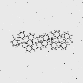 Cc1ccc(C)c(N(c2cccc(-c3cccc(-c4c(C)cccc4C)c3)c2O)c2ccc3ccc4c(N(c5cc(C)ccc5C)c5cccc6c5oc5c(-c7c(C)cccc7C)cccc56)ccc5ccc2c3c54)c1